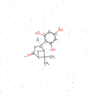 CC1(C)C2CC1[C@H](c1c(O)cc(O)cc1O)CC2=O